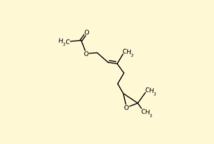 CC(=O)OCC=C(C)CCC1OC1(C)C